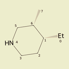 CC[C@@H]1CCNC[C@@H]1C